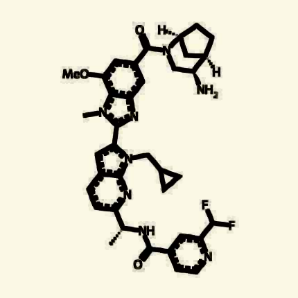 COc1cc(C(=O)N2C[C@H](N)[C@@H]3CC[C@H]2C3)cc2nc(-c3cc4ccc([C@@H](C)NC(=O)c5ccnc(C(F)F)c5)nc4n3CC3CC3)n(C)c12